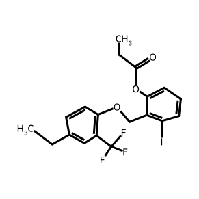 CCC(=O)Oc1cccc(I)c1COc1ccc(CC)cc1C(F)(F)F